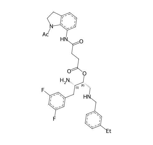 CCc1cccc(CNC[C@@H](OC(=O)CCC(=O)Nc2cccc3c2N(C(C)=O)CC3)[C@@H](N)Cc2cc(F)cc(F)c2)c1